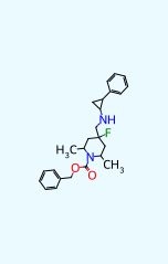 CC1CC(F)(CNC2CC2c2ccccc2)CC(C)N1C(=O)OCc1ccccc1